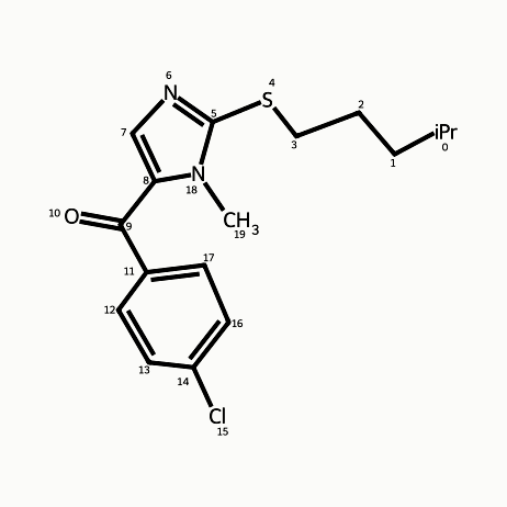 CC(C)CCCSc1ncc(C(=O)c2ccc(Cl)cc2)n1C